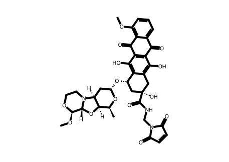 COc1cccc2c1C(=O)c1c(O)c3c(c(O)c1C2=O)C[C@@](O)(C(=O)NCN1C(=O)C=CC1=O)C[C@@H]3O[C@H]1C[C@H]2[C@H](O[C@@H]3[C@@H](OC)OCCN32)[C@H](C)O1